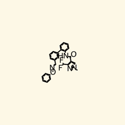 Cn1cc(C(=O)Nc2ccccc2-c2cccc(/C=N/Oc3ccccc3)c2)c(C(F)F)n1